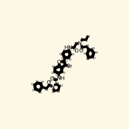 CCCN(CC(=O)Nc1ccc(-c2oc3ccc(NC(=O)[C@@H]4CCCN4C(=O)Cc4ccccc4)cc3c2Br)cc1)C(=O)Cc1ccccc1